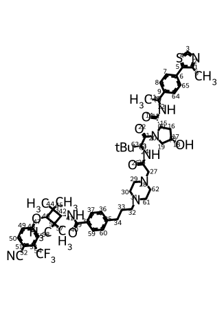 Cc1ncsc1-c1ccc([C@H](C)NC(=O)[C@@H]2C[C@@H](O)CN2C(=O)[C@@H](NC(=O)CN2CCN(CCCc3ccc(C(=O)N[C@H]4C(C)(C)[C@H](Oc5ccc(C#N)c(C(F)(F)F)c5)C4(C)C)cc3)CC2)C(C)(C)C)cc1